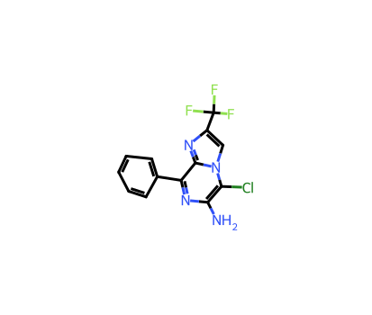 Nc1nc(-c2ccccc2)c2nc(C(F)(F)F)cn2c1Cl